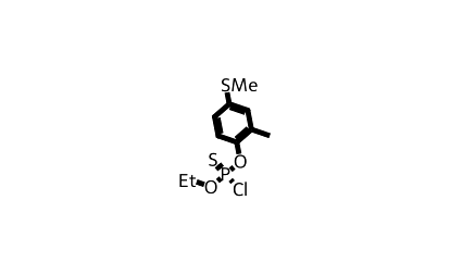 CCOP(=S)(Cl)Oc1ccc(SC)cc1C